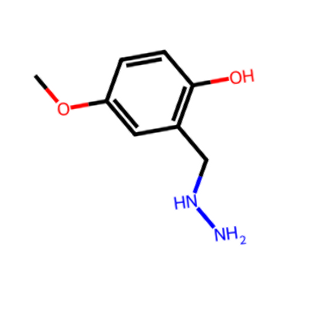 COc1ccc(O)c(CNN)c1